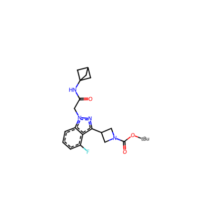 CC(C)(C)OC(=O)N1CC(c2nn(CC(=O)NC34CC(C3)C4)c3cccc(F)c23)C1